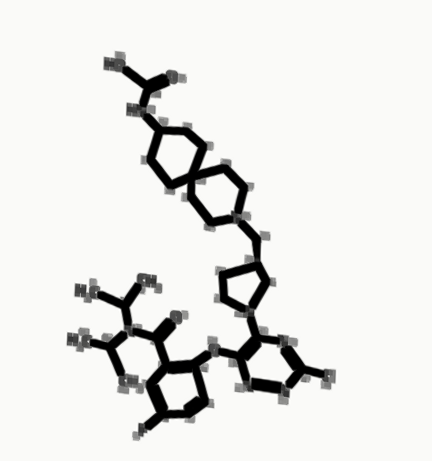 CC(C)N(C(=O)c1cc(F)ccc1Oc1nnc(Cl)nc1N1CC[C@@H](CN2CCC3(CCC(NC(=O)O)CC3)CC2)C1)C(C)C